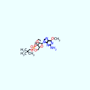 COc1nc(N)nc2c1ncn2C1OC2COP(=O)(OCC(C)(C)C)O[C@H]2[C@]12CCO2